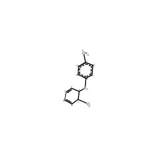 Cc1ccc(OC2C=CC=CC2Cl)cc1